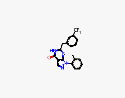 Cc1ccccc1-n1ncc2c(=O)[nH]c(Cc3cccc(C(F)(F)F)c3)nc21